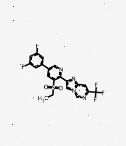 CCS(=O)(=O)c1cc(-c2cc(F)cc(F)c2)cnc1-c1cn2cnc(C(F)(F)F)cc2n1